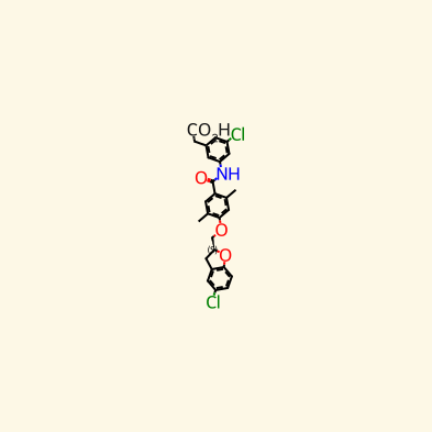 Cc1cc(C(=O)Nc2cc(Cl)cc(CC(=O)O)c2)c(C)cc1OC[C@@H]1Cc2cc(Cl)ccc2O1